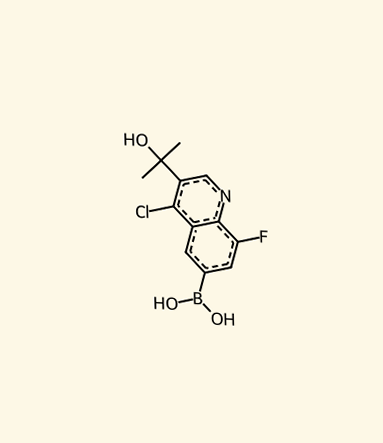 CC(C)(O)c1cnc2c(F)cc(B(O)O)cc2c1Cl